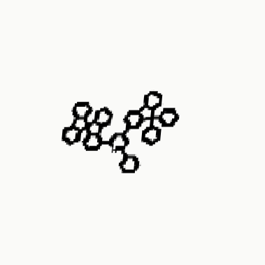 c1ccc(-c2cc(-c3ccc4c(c3)C(c3ccccc3)(c3ccccc3)c3ccccc3-4)cc(-c3cccc4c3-c3ccccc3C43c4ccccc4-c4ccccc43)n2)cc1